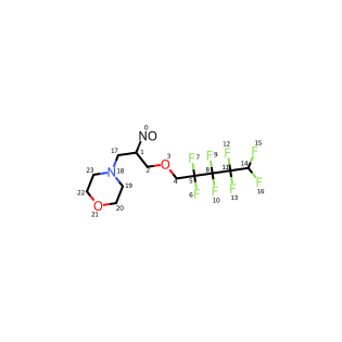 O=NC(COCC(F)(F)C(F)(F)C(F)(F)C(F)F)CN1CCOCC1